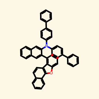 c1ccc(-c2ccc(N(c3ccc(-c4ccccc4)cc3)c3cc4ccccc4cc3-c3cccc4oc5c6ccccc6ccc5c34)cc2)cc1